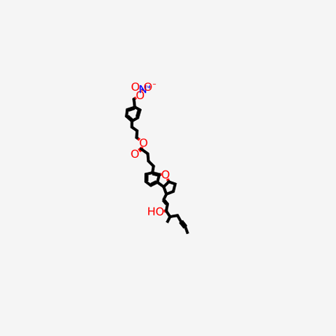 CC#CCC(C)C(O)/C=C/C1CCC2Oc3c(CCCC(=O)OCCCc4ccc(CO[N+](=O)[O-])cc4)cccc3C12